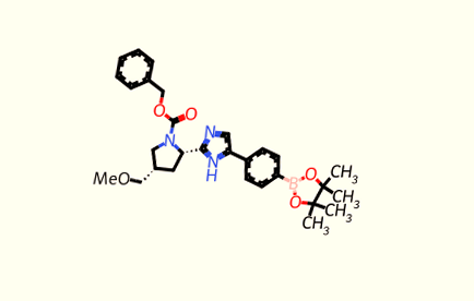 COC[C@H]1C[C@@H](c2ncc(-c3ccc(B4OC(C)(C)C(C)(C)O4)cc3)[nH]2)N(C(=O)OCc2ccccc2)C1